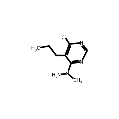 CCCc1c(Cl)ncnc1N(C)N